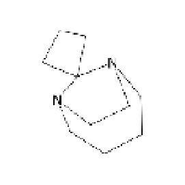 C1CCN2CCN(C1)C21CCC1